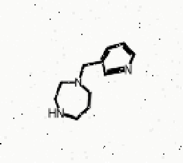 c1cncc(CN2CCCNCC2)c1